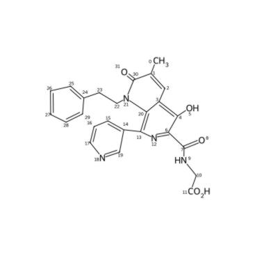 Cc1cc2c(O)c(C(=O)NCC(=O)O)nc(-c3cccnc3)c2n(CCc2ccccc2)c1=O